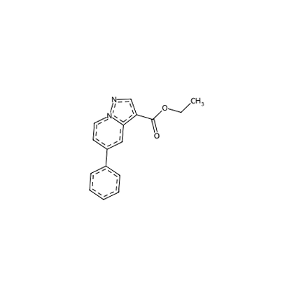 CCOC(=O)c1cnn2ccc(-c3ccccc3)cc12